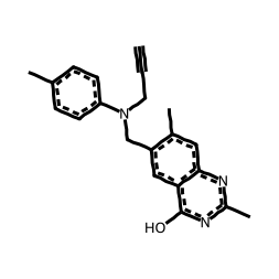 C#CCN(Cc1cc2c(O)nc(C)nc2cc1C)c1ccc(C)cc1